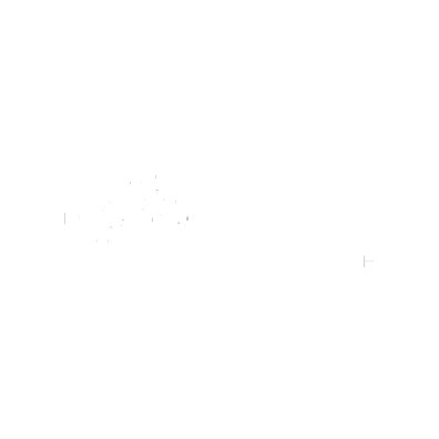 O=c1c(O)c(-c2ccc(O)c(O)c2)oc2ccc(CCCCCCCCCCCCCO)cc12